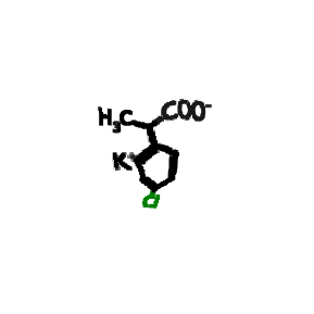 CC(C(=O)[O-])c1ccc(Cl)cc1.[K+]